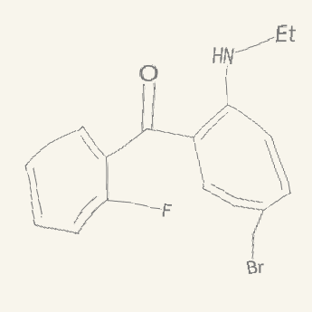 CCNc1ccc(Br)cc1C(=O)c1ccccc1F